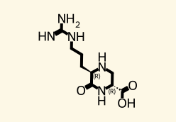 N=C(N)NCCC[C@H]1NC[C@H](C(=O)O)NC1=O